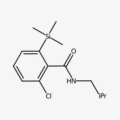 CC(C)CNC(=O)c1c(Cl)cccc1[Si](C)(C)C